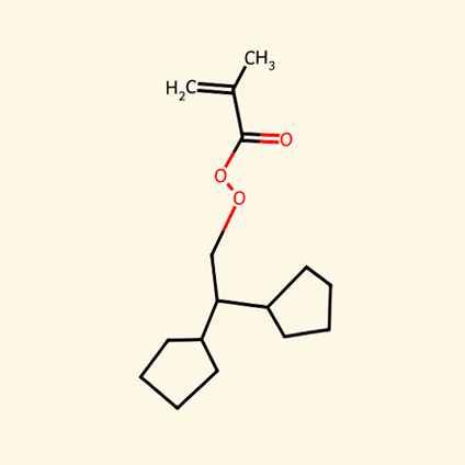 C=C(C)C(=O)OOCC(C1CCCC1)C1CCCC1